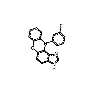 Clc1cccc(N2c3ccccc3Oc3ccc4[nH]cnc4c32)c1